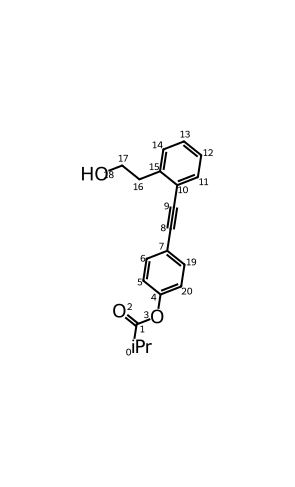 CC(C)C(=O)Oc1ccc(C#Cc2ccccc2CCO)cc1